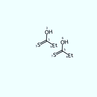 CCC(O)=S.CCC(O)=S